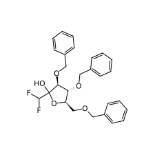 OC1(C(F)F)O[C@H](COCc2ccccc2)[C@@H](OCc2ccccc2)[C@@H]1OCc1ccccc1